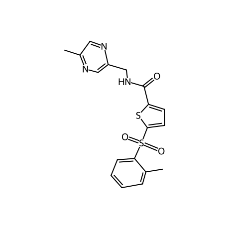 Cc1cnc(CNC(=O)c2ccc(S(=O)(=O)c3ccccc3C)s2)cn1